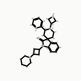 O=C1N(C2CC(N3CCCCC3)C2)c2ccccc2C12CCN(C1COC1)C(c1ccccn1)C2